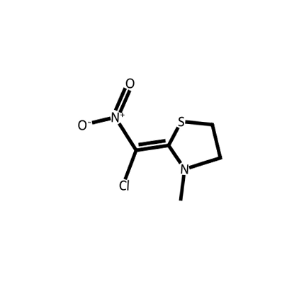 CN1CCSC1=C(Cl)[N+](=O)[O-]